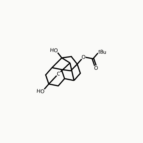 CC(C)(C)C(=O)OC12CC3C4CC5(O)CC3C(O)(C1)C(C5)C4C2